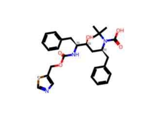 CC(C)(C)N(C(=O)O)[C@@H](Cc1ccccc1)C[C@H](O)[C@H](Cc1ccccc1)NC(=O)OCc1cncs1